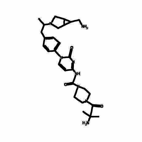 CC(Cc1ccc(-n2ccc(NC(=O)N3CCN(C(=O)C(C)(C)N)CC3)nc2=O)cc1)N1CC2C(CN)C2C1